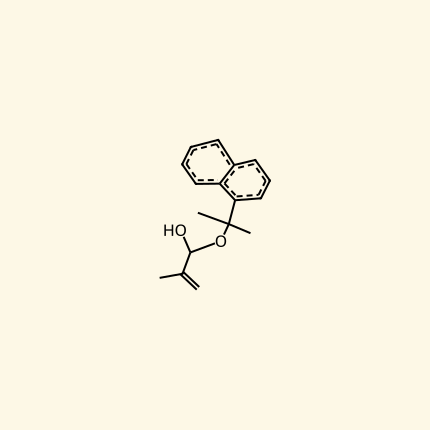 C=C(C)C(O)OC(C)(C)c1cccc2ccccc12